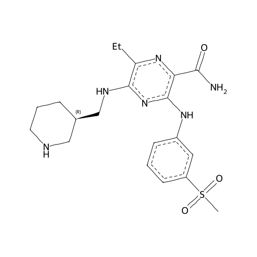 CCc1nc(C(N)=O)c(Nc2cccc(S(C)(=O)=O)c2)nc1NC[C@@H]1CCCNC1